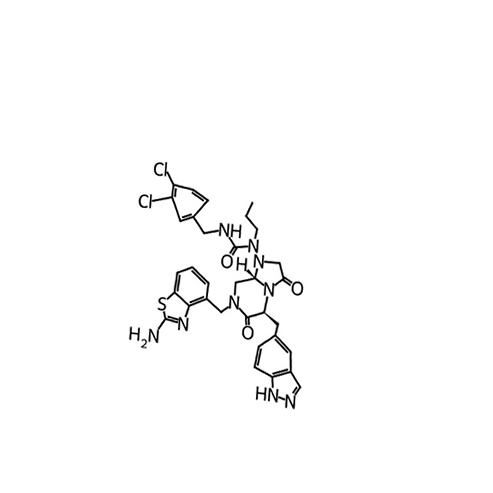 CCCN(C(=O)NCc1ccc(Cl)c(Cl)c1)N1CC(=O)N2[C@@H](Cc3ccc4[nH]ncc4c3)C(=O)N(Cc3cccc4sc(N)nc34)C[C@@H]21